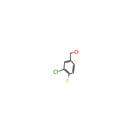 [O]Cc1ccc(F)c(Cl)c1